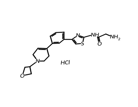 Cl.NCC(=O)Nc1nc(-c2cccc(C3=CCN(C4COC4)CC3)c2)cs1